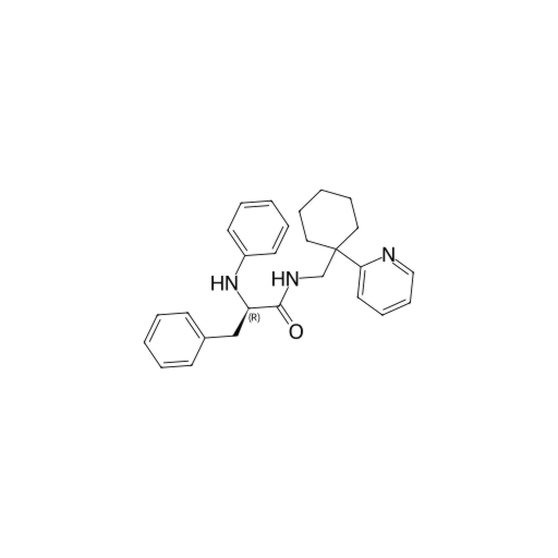 O=C(NCC1(c2ccccn2)CCCCC1)[C@@H](Cc1ccccc1)Nc1ccccc1